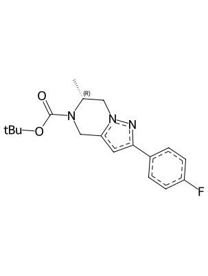 C[C@@H]1Cn2nc(-c3ccc(F)cc3)cc2CN1C(=O)OC(C)(C)C